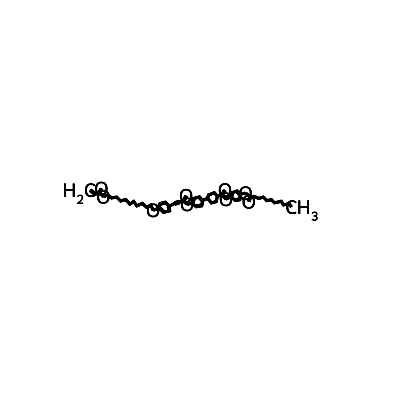 C=CC(=O)OCCCCCCCCCCCOc1ccc(C#CC(=O)Oc2ccc(C3CCC(C(=O)Oc4ccc(OC(=O)CCCCCCCCCC)cc4)CC3)cc2)cc1